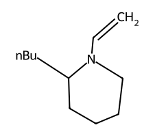 C=CN1CCCCC1CCCC